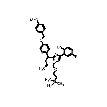 C=CCC(c1ccc(OCc2ccc(OC)cc2)cn1)c1nc(-c2cc(F)ccc2Br)cn1COCC[Si](C)(C)C